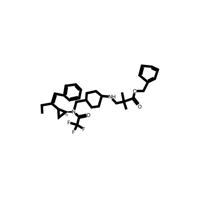 CCC(=Cc1ccccc1)C1C[C@@H]1N(CC1CCC(NCC(C)(C)C(=O)OCc2ccccc2)CC1)C(=O)C(F)(F)F